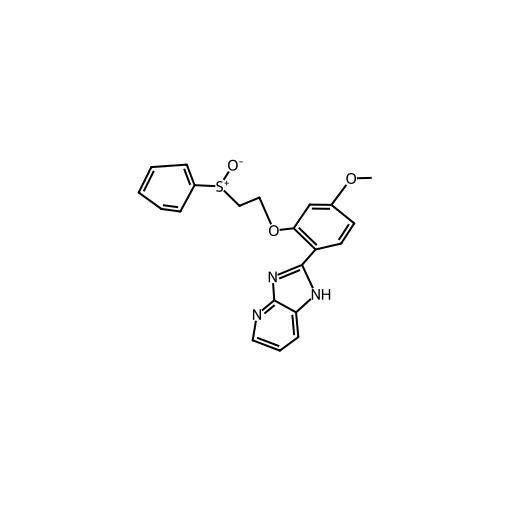 COc1ccc(-c2nc3ncccc3[nH]2)c(OCC[S+]([O-])c2ccccc2)c1